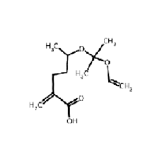 C=COC(C)(C)OC(C)CCC(=C)C(=O)O